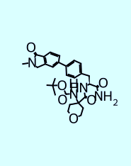 CN1Cc2cc(-c3ccc(C[C@H](NC(=O)C4(NC(=O)OC(C)(C)C)CCOCC4)C(N)=O)cc3)ccc2C1=O